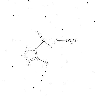 CCOC(=O)CCC(=O)c1ccoc1C(C)=O